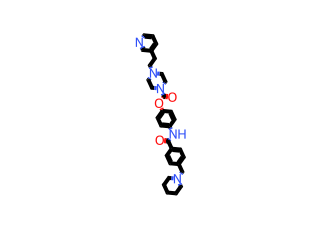 O=C(Nc1ccc(OC(=O)N2CCN(CCc3cccnc3)CC2)cc1)c1ccc(CN2CCCCC2)cc1